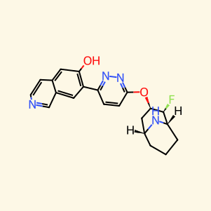 Oc1cc2ccncc2cc1-c1ccc(O[C@@H]2C[C@H]3CCC[C@H](N3)[C@@H]2F)nn1